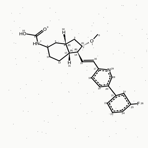 CO[C@H]1C[C@H]2CC(NC(=O)O)CC[C@H]2[C@@H]1C=Cc1ccc(-c2cccc(F)c2)cn1